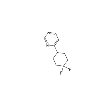 FC1(F)CCC(c2cc[c]cn2)CC1